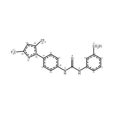 CCOC(=O)c1cccc(NC(=O)Nc2ccc(-n3nc(C(F)(F)F)cc3C(F)(F)F)cc2)c1